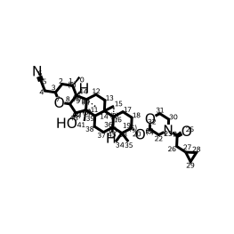 C[C@@H]1CC(CC#N)OC2[C@H]1[C@@]1(C)CCC34C[C@@]35CC[C@H](O[C@H]3CN(C(=O)CC6CC6)CCO3)C(C)(C)[C@@H]5CCC4[C@]1(C)[C@H]2O